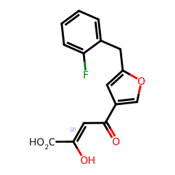 O=C(O)/C(O)=C/C(=O)c1coc(Cc2ccccc2F)c1